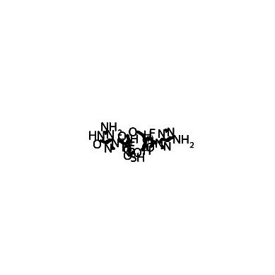 Nc1nc2c(ncn2[C@@H]2OC3OCC[C@H]4[C@H](F)[C@H](n5cnc6c(N)ncnc65)O[C@@H]4COP(=O)(S)O[C@@H]2[C@H]3F)c(=O)[nH]1